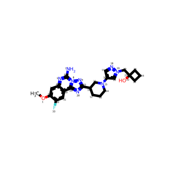 COc1cc2nc(N)n3nc(C4CCCN(c5cnn(CC6(O)CCC6)c5)C4)nc3c2cc1F